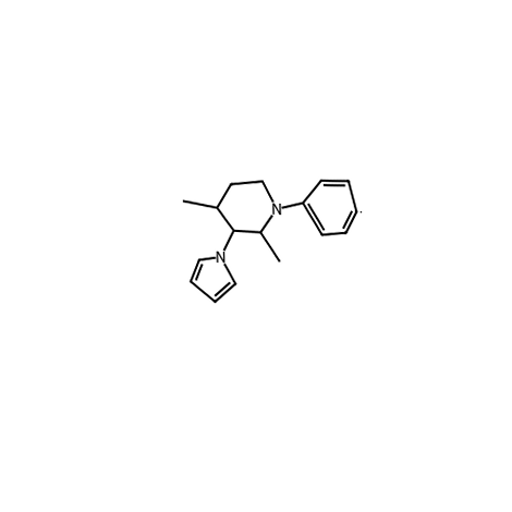 CC1CCN(c2cc[c]cc2)C(C)C1n1cccc1